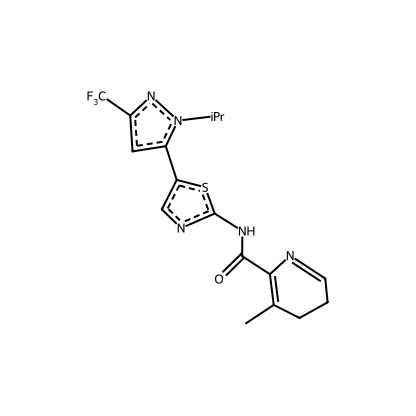 CC1=C(C(=O)Nc2ncc(-c3cc(C(F)(F)F)nn3C(C)C)s2)N=CCC1